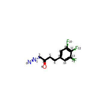 [N-]=[N+]=CC(=O)CCc1cc(F)c(F)c(F)c1